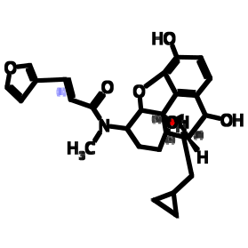 CN(C(=O)/C=C/c1ccoc1)C1CC[C@@]2(O)[C@H]3C(O)c4ccc(O)c5c4[C@@]2(CCN3CC2CC2)C1O5